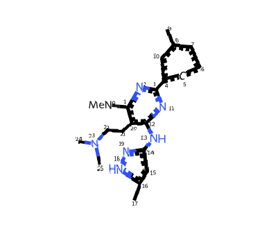 CNc1nc(-c2cccc(C)c2)nc(Nc2cc(C)[nH]n2)c1CCN(C)C